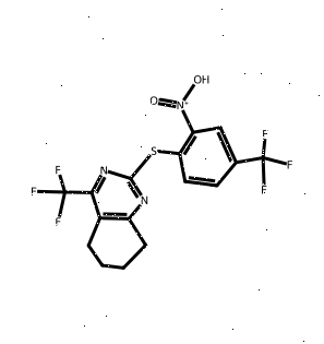 O=[N+](O)c1cc(C(F)(F)F)ccc1Sc1nc2c(c(C(F)(F)F)n1)CCCC2